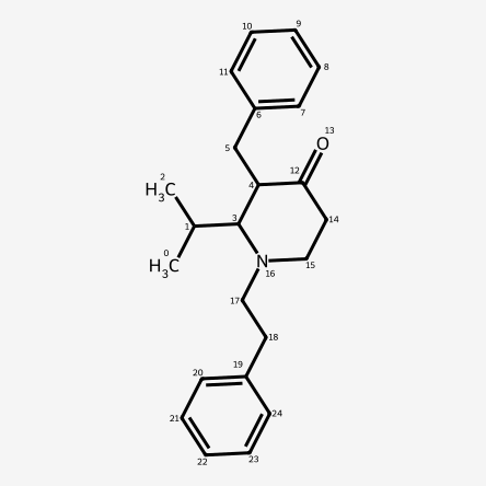 CC(C)C1C(Cc2ccccc2)C(=O)CCN1CCc1ccccc1